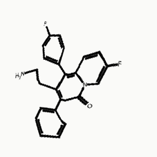 NCCc1c(-c2ccccc2)c(=O)n2cc(F)ccc2c1-c1ccc(F)cc1